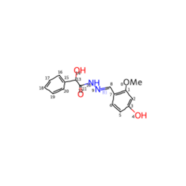 COc1cc(O)ccc1/C=N/NC(=O)C(O)c1ccccc1